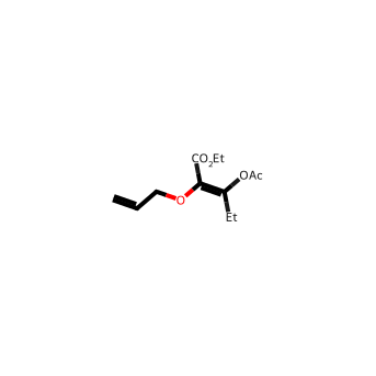 C=CCO/C(C(=O)OCC)=C(\CC)OC(C)=O